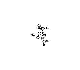 CCOc1cc(C(=O)N[C@@H](Cc2ccccc2)[C@H](O)CNCc2cc(Br)cc(Br)c2)cc(N2CCCCS2(=O)=O)c1.Cl